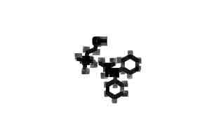 C1CCC(NC2CCCCC2)CC1.CN(C)C.C[N+](C)(C)CCO